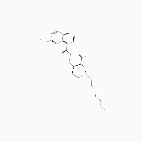 CCCCSCCN1CCC(CCC(=O)c2c(Cl)cnc3ccc(OC)cc23)C(C(=O)O)C1